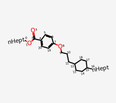 CCCCCCCOC(=O)c1ccc(OCCCC2CCC(CCCCCCC)CC2)cc1